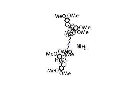 COc1cc2c(cc1OC)C(Cc1cc(OC)c(OC)c(OC)c1)[N+](C)(CCCOC(=O)CC/C=C/CCC(=O)OCCC[N+]1(C)CCc3cc(OC)c(OC)cc3C1Cc1cc(OC)c(OC)c(OC)c1)CC2.N.N